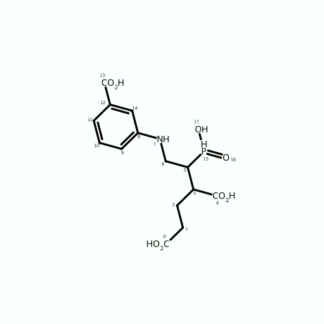 O=C(O)CCC(C(=O)O)C(CNc1cccc(C(=O)O)c1)[PH](=O)O